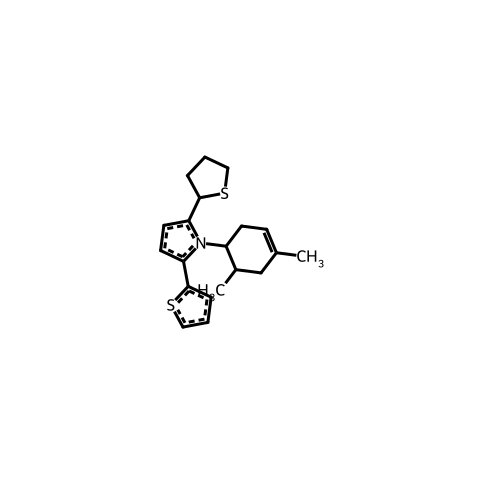 CC1=CCC(n2c(-c3cccs3)ccc2C2CCCS2)C(C)C1